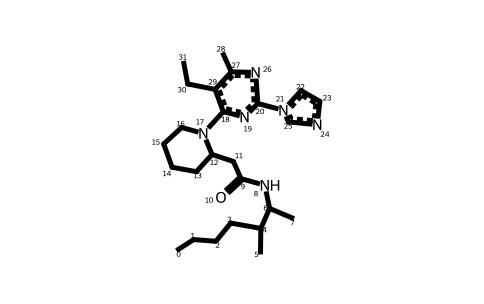 CCCCC(C)C(C)NC(=O)CC1CCCCN1c1nc(-n2ccnc2)nc(C)c1CC